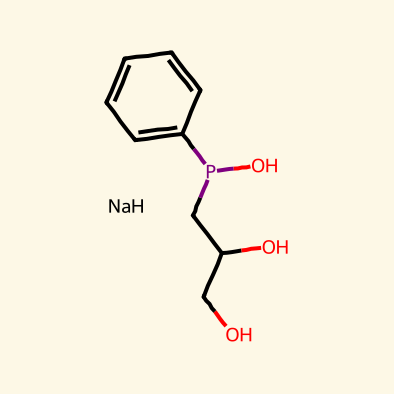 OCC(O)CP(O)c1ccccc1.[NaH]